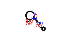 CN1CCCCC=CCCC[C@H](CC(=O)O)C(=O)N[C@@H](CCCCNC(=O)OCc2ccccc2)C1=O